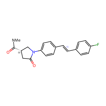 CNC(=O)[C@H]1CC(=O)N(c2ccc(/C=C/c3ccc(F)cc3)cc2)C1